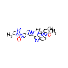 CCNC(=O)N1CCC2(CCn3nc(-c4cnc5cccc(NC(=O)C(C)(C)C)c5c4)cc32)C1